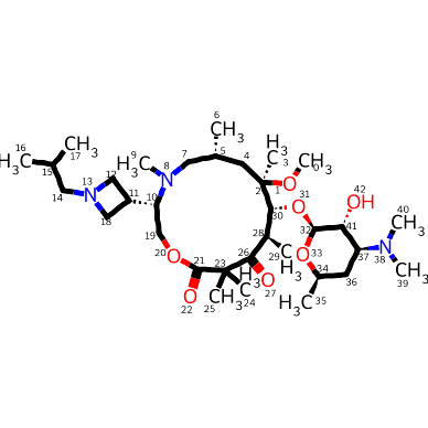 CO[C@]1(C)C[C@@H](C)CN(C)[C@@H](C2CN(CC(C)C)C2)COC(=O)C(C)(C)C(=O)[C@H](C)[C@H]1O[C@@H]1O[C@H](C)C[C@H](N(C)C)[C@H]1O